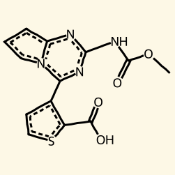 COC(=O)Nc1nc(-c2ccsc2C(=O)O)n2cccc2n1